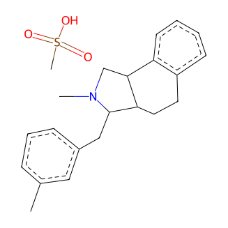 CS(=O)(=O)O.Cc1cccc(CC2C3CCc4ccccc4C3CN2C)c1